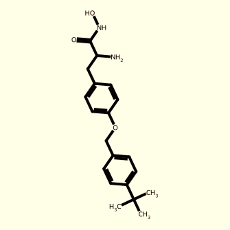 CC(C)(C)c1ccc(COc2ccc(CC(N)C(=O)NO)cc2)cc1